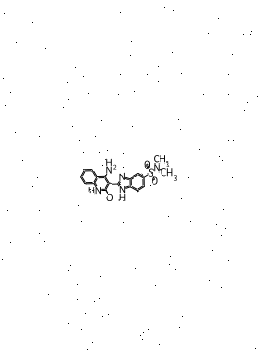 CN(C)S(=O)(=O)c1ccc2[nH]c(-c3c(N)c4ccccc4[nH]c3=O)nc2c1